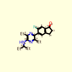 CCc1nc(-c2cc3c(cc2F)C(=O)CC3)c(CC)nc1NC(CC)CC